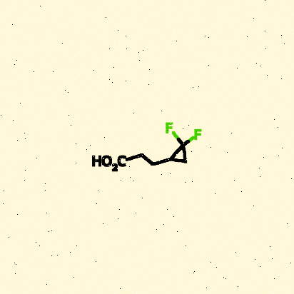 O=C(O)CCC1CC1(F)F